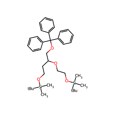 CC(C)(C)[Si](C)(C)OCCOC(CCO[Si](C)(C)C(C)(C)C)COC(c1ccccc1)(c1ccccc1)c1ccccc1